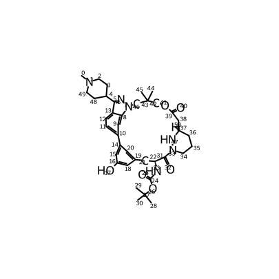 CN1CCC(c2nn3c4cc(ccc24)-c2cc(O)cc(c2)C[C@H](NC(=O)OC(C)(C)C)C(=O)N2CCC[C@@H](CC(=O)OCC(C)(C)C3)N2)CC1